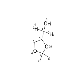 [2H]C([2H])(O)[C@H]1COC(C)(C)O1